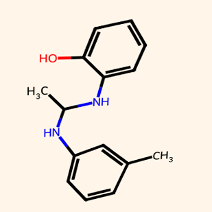 Cc1cccc(NC(C)Nc2ccccc2O)c1